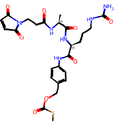 CSC(=O)OCc1ccc(NC(=O)[C@H](CCCNC(N)=O)NC(=O)[C@H](C)NC(=O)CCN2C(=O)C=CC2=O)cc1